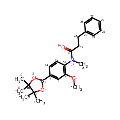 COc1cc(B2OC(C)(C)C(C)(C)O2)ccc1N(C)C(=O)CCc1ccccc1